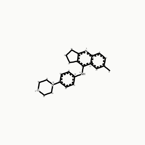 Cc1ccc2nc3c(c(Nc4ccc(N5CCOCC5)cc4)c2c1)CCC3